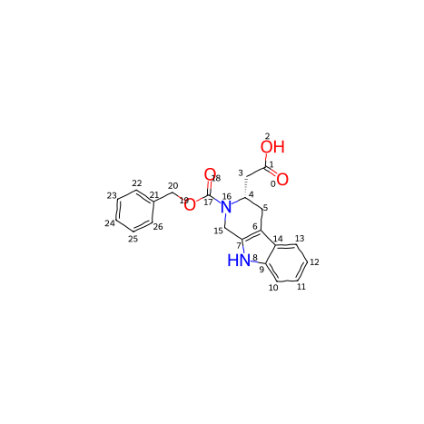 O=C(O)C[C@@H]1Cc2c([nH]c3ccccc23)CN1C(=O)OCc1ccccc1